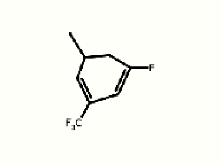 CC1[CH]C(F)=CC(C(F)(F)F)=C1